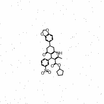 CC1=C(C(=O)OC2CCCC2)C(c2cccc([N+](=O)[O-])c2)C2=C(CC(c3ccc4c(c3)OCO4)CC2=O)N1